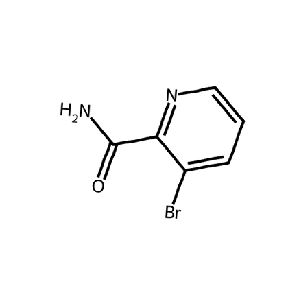 NC(=O)c1ncccc1Br